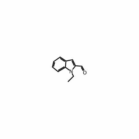 CCn1c(C=O)cc2ccccc21